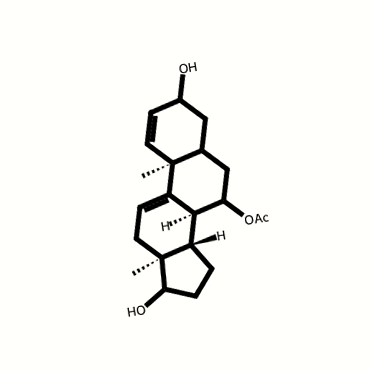 CC(=O)OC1CC2CC(O)C=C[C@]2(C)C2=CC[C@]3(C)C(O)CC[C@H]3[C@@H]21